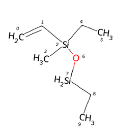 C=C[Si](C)(CC)O[SiH2]CC